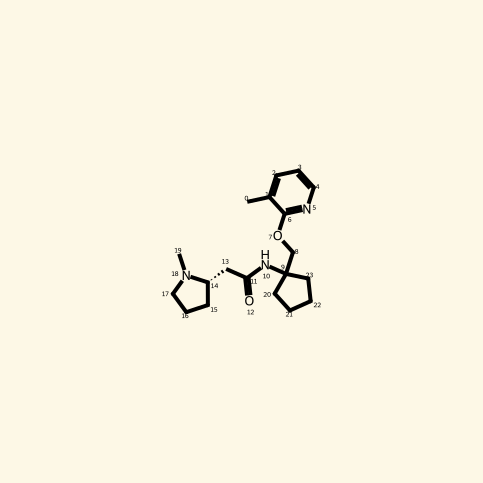 Cc1cccnc1OCC1(NC(=O)C[C@@H]2CCCN2C)CCCC1